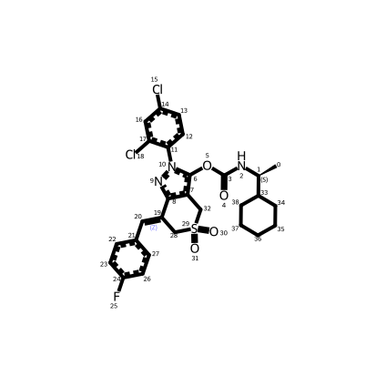 C[C@H](NC(=O)Oc1c2c(nn1-c1ccc(Cl)cc1Cl)/C(=C/c1ccc(F)cc1)CS(=O)(=O)C2)C1CCCCC1